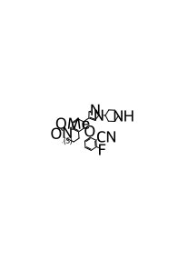 COC(=O)N1c2ccc(-c3cnn(C4CCNCC4)c3)c(Oc3cccc(F)c3C#N)c2CC[C@@H]1C